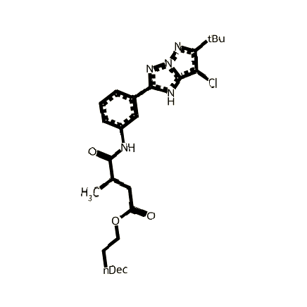 CCCCCCCCCCCCOC(=O)CC(C)C(=O)Nc1cccc(-c2nn3nc(C(C)(C)C)c(Cl)c3[nH]2)c1